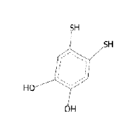 Oc1cc(S)c(S)cc1O